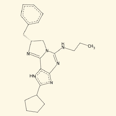 CCCNC1=Nc2nc(C3CCCC3)[nH]c2C2=N[C@H](Cc3ccccc3)CN12